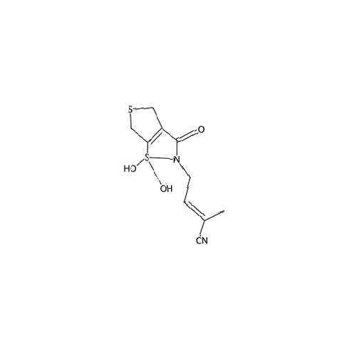 CC(C#N)=CCN1C(=O)C2=C(CSC2)S1(O)O